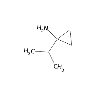 CC(C)C1(N)CC1